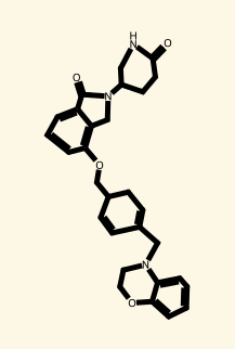 O=C1CCC(N2Cc3c(OCC4C=CC(CN5CCOc6ccccc65)=CC4)cccc3C2=O)CN1